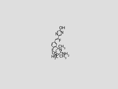 CC1(c2cc(C=C(F)c3cnc(O)cn3)ccc2F)CS(=O)(=O)C(C)(C)C(N)=N1